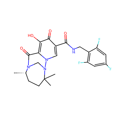 C[C@H]1CCC(C)(C)N2CN1C(=O)c1c(O)c(=O)c(C(=O)NCc3c(F)cc(F)cc3F)cn12